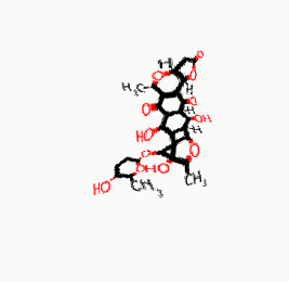 CC1OC2[C@@H]3C(O)[C@@H]4C(=O)C5=C(C(=O)C4C(O)C3C23C(O[C@H]2CC[C@H](O)[C@H](C)O2)C13O)[C@H](C)O[C@H]1CC(=O)O[C@@H]51